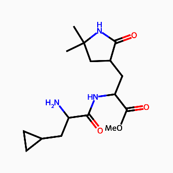 COC(=O)C(CC1CC(C)(C)NC1=O)NC(=O)C(N)CC1CC1